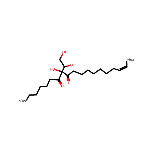 CCCCCC/C=C\CCCCCCCC(=O)C(O)(C(=O)CCCCCCCCCCCCCCC)C(O)CO